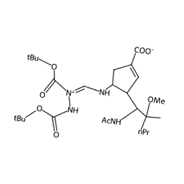 CCCC(C)(OC)C(NC(C)=O)C1C=C(C(=O)[O-])CC1NC=[N+](NC(=O)OC(C)(C)C)C(=O)OC(C)(C)C